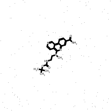 CN(CCNC(=O)OC(C)(C)C)c1nc2cc(C(N)=O)ccc2c2cnccc12